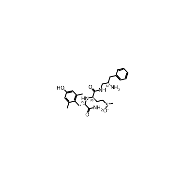 Cc1cc(O)cc(C)c1C[C@H](N[C@H](CC[S+](C)[O-])C(=O)NC[C@@H](N)Cc1ccccc1)C(N)=O